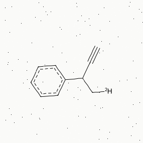 [2H]CC(C#C)c1ccccc1